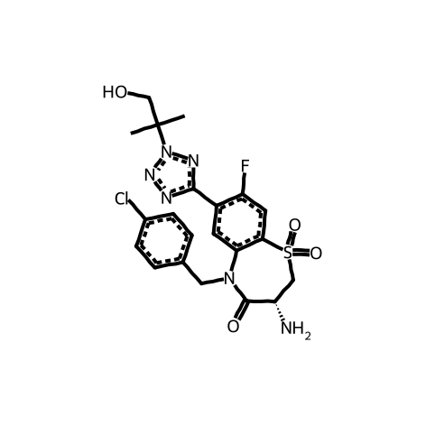 CC(C)(CO)n1nnc(-c2cc3c(cc2F)S(=O)(=O)C[C@H](N)C(=O)N3Cc2ccc(Cl)cc2)n1